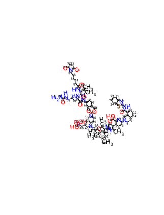 Cc1c(-c2ccc(N3CCc4cccc(C(=O)Nc5nc6ccccc6s5)c4C3)nc2C(=O)O)cnn1CC1(CC(C)OCCN(CCCP(=O)(O)O)C2CCN(C(=O)OCc3ccc(NC(=O)[C@H](CCCNC(N)=O)NC(=O)[C@@H](NC(=O)CCCCCN4C(=O)C=CC4=O)C(C)C)cc3)CC2)CC(C)CC(C)(C)C1